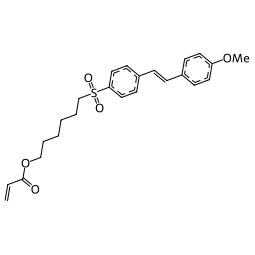 C=CC(=O)OCCCCCCS(=O)(=O)c1ccc(/C=C/c2ccc(OC)cc2)cc1